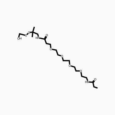 CCC(=O)NCCOCCOCCOCCOCCC(=O)NCC(C)(C)SSCO